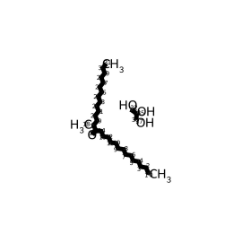 CCCCCCCCCCCCCCCC(=O)C(C)CCCCCCCCCCCCC.OCC(O)CO